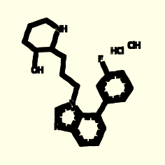 Cl.Cl.OC1CCCNC1CCCn1cnc2cccc(-c3cccc(F)c3)c21